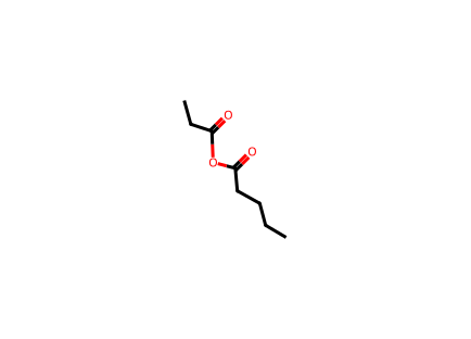 CCCCC(=O)OC(=O)CC